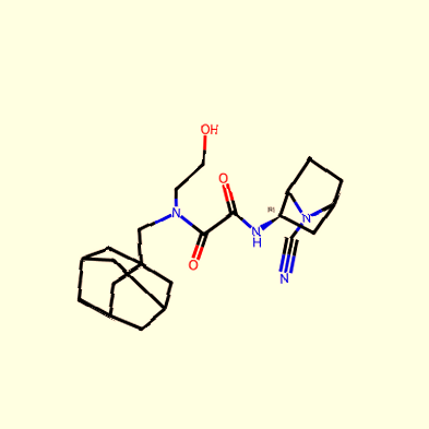 N#CN1C2CCC1[C@H](NC(=O)C(=O)N(CCO)CC13CC4CC(CC(C4)C1)C3)C2